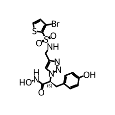 O=C(NO)[C@H](Cc1ccc(O)cc1)n1cc(CNS(=O)(=O)c2sccc2Br)nn1